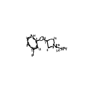 Cc1ccnc(OC2CN(C(C)C)C2)c1